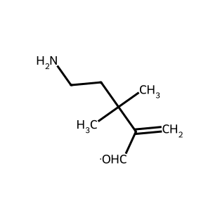 C=C([C]=O)C(C)(C)CCN